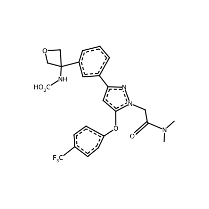 CN(C)C(=O)Cn1nc(-c2cccc(C3(NC(=O)O)COC3)c2)cc1Oc1ccc(C(F)(F)F)cc1